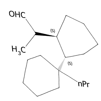 CCCC1([C@H]2CCCC[C@@H]2C(C)C=O)CCCCC1